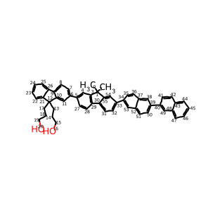 CC1(C)c2cc(-c3ccc4c(c3)C(CCCO)(CCCO)c3ccccc3-4)ccc2-c2ccc(-c3ccc4cc(-c5ccc6ccccc6c5)ccc4c3)cc21